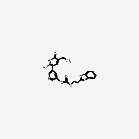 CCc1cc(-c2cncc(OC(=O)NCCc3nc4ccccc4[nH]3)c2)c(C)[nH]c1=O